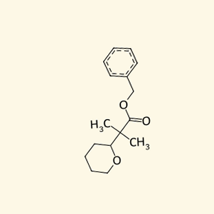 CC(C)(C(=O)OCc1ccccc1)C1CCCCO1